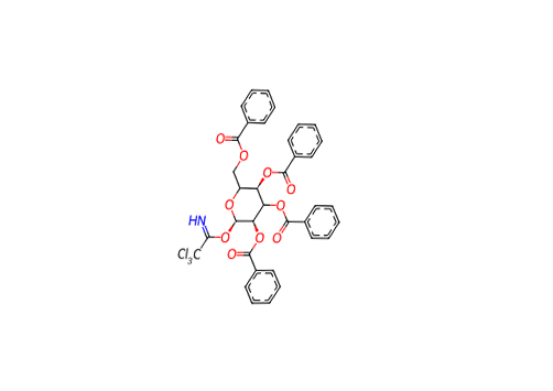 N=C(O[C@H]1OC(COC(=O)c2ccccc2)[C@@H](OC(=O)c2ccccc2)C(OC(=O)c2ccccc2)[C@H]1OC(=O)c1ccccc1)C(Cl)(Cl)Cl